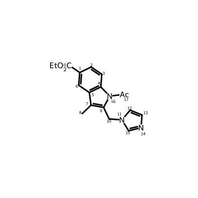 CCOC(=O)c1ccc2c(c1)c(C)c(Cn1ccnc1)n2C(C)=O